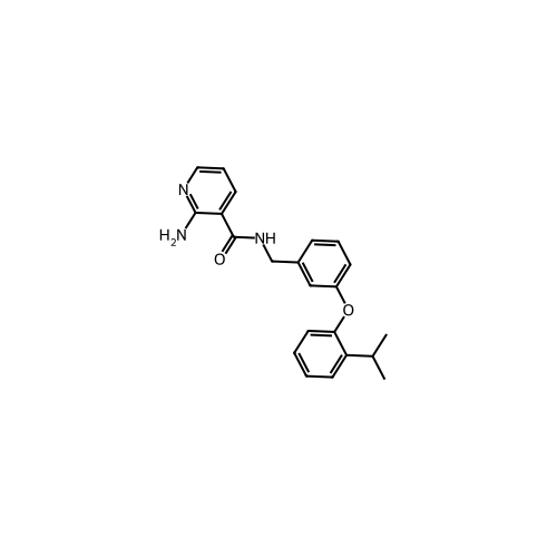 CC(C)c1ccccc1Oc1cccc(CNC(=O)c2cccnc2N)c1